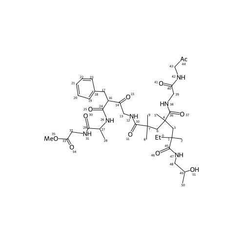 CCC(C)(CC(C)(CC(C)(C)C(=O)NCC(=O)C(Cc1ccccc1)C(=O)NC(C)C(=O)NCC(=O)OC)C(=O)NCC(=O)NCC(C)=O)C(=O)NCC(C)O